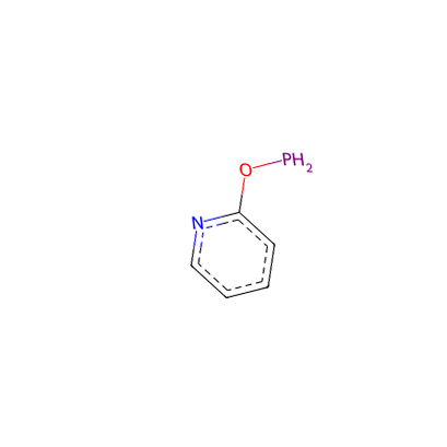 POc1ccccn1